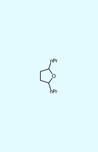 CCCC1CCC(CCC)O1